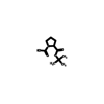 CC(C)(C)OC(=O)C1CCCN1C(=O)O